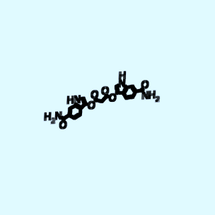 NC(=O)c1ccc2c(OC(=O)CC(=O)Oc3c[nH]c4cc(C(N)=O)ccc34)c[nH]c2c1